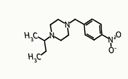 CCC(C)N1CCN(Cc2ccc([N+](=O)[O-])cc2)CC1